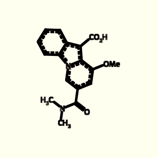 COc1cc(C(=O)N(C)C)cn2c1c(C(=O)O)c1ccccc12